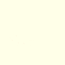 CCCCCCCCSc1cccc(/C=C/C(=O)c2ccc(F)cc2)c1